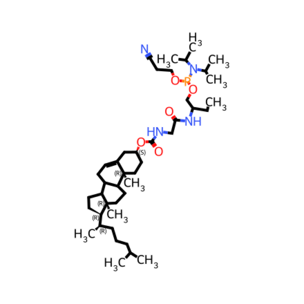 CCC(COP(OCCC#N)N(C(C)C)C(C)C)NC(=O)CNC(=O)O[C@H]1CC[C@@]2(C)C(=CCC3C2CC[C@@]2(C)C3CC[C@@H]2[C@H](C)CCCC(C)C)C1